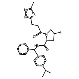 Cc1nnc(CCC(=O)N2CC(F)CC2C(=O)NC(c2ccccc2)c2ccc(C(C)C)cc2)s1